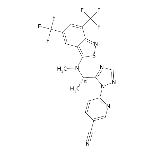 C[C@@H](c1ncnn1-c1ccc(C#N)cn1)N(C)c1snc2c(C(F)(F)F)cc(C(F)(F)F)cc12